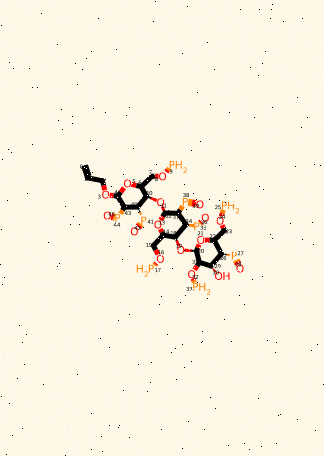 C=CCOC1OC(COP)[C@@H](O[C@@H]2OC(COP)[C@H](O[C@H]3OC(COP)[C@H](P=O)[C@H](O)C3OP)[C@H](P=O)C2P=O)[C@H](P=O)C1P=O